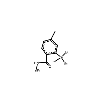 CCCNC(=O)c1ccc(C)cc1[Si](CC)(CC)CC